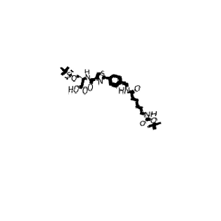 CC(C)(C)OC(=O)NCCCCCC(=O)NCc1ccc(-c2nc(C(=O)N[C@@H](CO[Si](C)(C)C(C)(C)C)C(=O)O)cs2)cc1